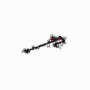 CC(C)(C(N)=O)C(=O)NCCCNc1nc(Nc2cccc(NC(=O)CC(NC(=O)CCCC(=O)NCCCOCCOCCOCCCNC(=O)CCCC[C@@H]3SC[C@@H]4NC(=O)N[C@@H]43)C(=O)N3C[C@H]4C[C@@H]3C(=O)O4)c2)ncc1Br